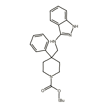 CC(C)(C)OC(=O)N1CCC(CNc2n[nH]c3ccccc23)(c2ccccc2)CC1